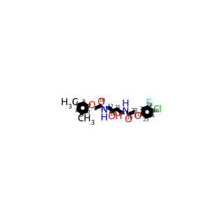 Cc1cc(C)cc(OCC(=O)NC[C@@H](O)CCNC(=O)COc2ccc(Cl)c(F)c2)c1